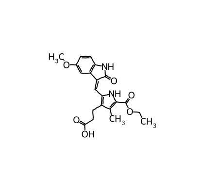 CCOC(=O)c1[nH]c(C=C2C(=O)Nc3ccc(OC)cc32)c(CCC(=O)O)c1C